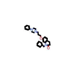 O=C1CCc2ccc(OCCCN3CCN(c4ccccc4)CC3)cc2N1Cc1ccccc1